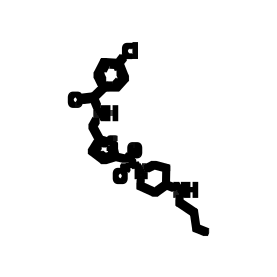 CCCCNC1CCN(S(=O)(=O)c2ccc(CNC(=O)c3ccc(Cl)cc3)s2)CC1